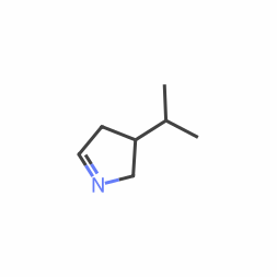 CC(C)C1CC=NC1